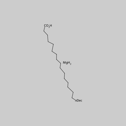 CCCCCCCCCCCCCCCCCCCCCCCCCC(=O)O.[MgH2]